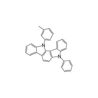 Cc1cccc(-n2c3ccccc3c3ccc4c(c5ccccc5n4-c4ccccc4)c32)c1